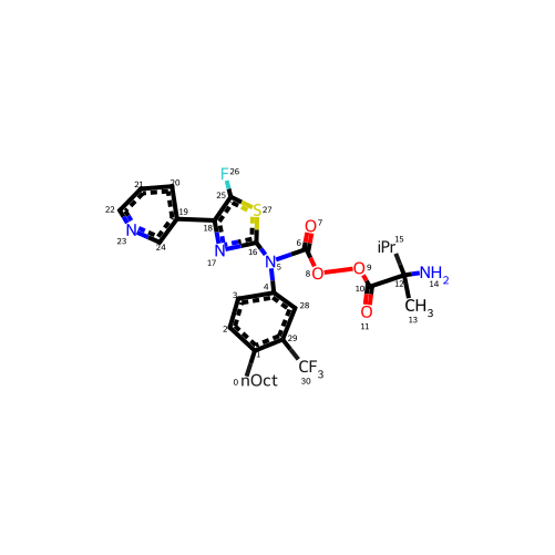 CCCCCCCCc1ccc(N(C(=O)OOC(=O)C(C)(N)C(C)C)c2nc(-c3cccnc3)c(F)s2)cc1C(F)(F)F